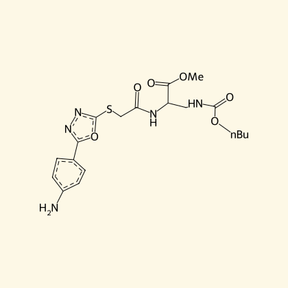 CCCCOC(=O)NCC(NC(=O)CSc1nnc(-c2ccc(N)cc2)o1)C(=O)OC